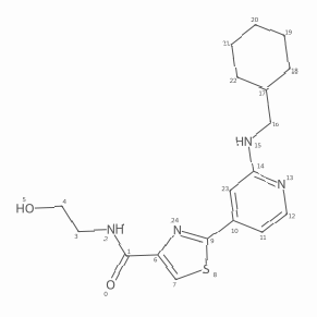 O=C(NCCO)c1csc(-c2ccnc(NCC3CCCCC3)c2)n1